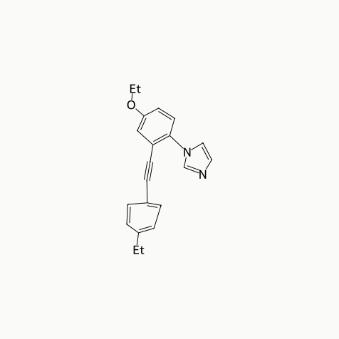 CCOc1ccc(-n2ccnc2)c(C#Cc2ccc(CC)cc2)c1